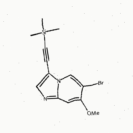 COc1cc2ncc(C#C[Si](C)(C)C)n2cc1Br